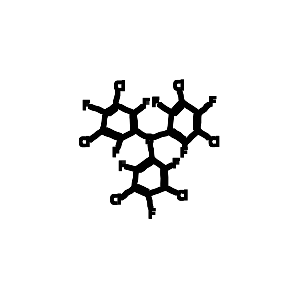 Fc1c(Cl)c(F)c(B(c2c(F)c(Cl)c(F)c(Cl)c2F)c2c(F)c(Cl)c(F)c(Cl)c2F)c(F)c1Cl